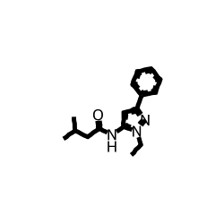 CCn1nc(-c2ccccc2)cc1NC(=O)CC(C)C